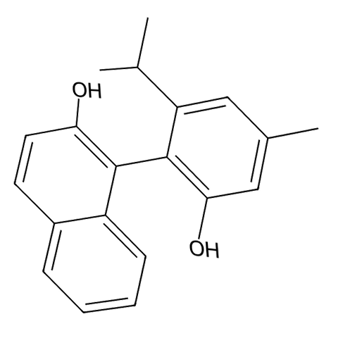 Cc1cc(O)c(-c2c(O)ccc3ccccc23)c(C(C)C)c1